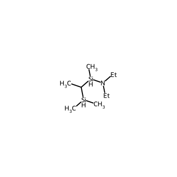 CCN(CC)[SiH](C)C(C)[SiH](C)C